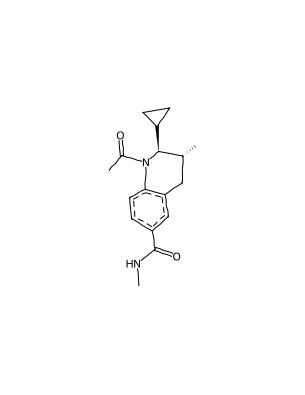 CNC(=O)c1ccc2c(c1)C[C@@H](C)[C@H](C1CC1)N2C(C)=O